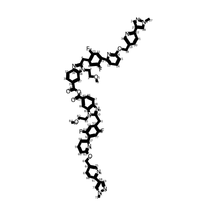 COCCn1c(Cc2cc(F)c(-c3cccc(OCc4ccc(-c5cnn(C)c5)nc4)n3)cc2F)nc2ccc(C(=O)OC(=O)c3ccc4nc(Cc5cc(F)c(-c6cccc(OCc7ccc(-c8cnn(C)c8)nc7)n6)cc5F)n(CCOC)c4c3)cc21